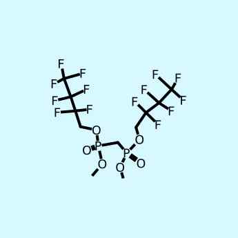 COP(=O)(CP(=O)(OC)OCC(F)(F)C(F)(F)C(F)(F)F)OCC(F)(F)C(F)(F)C(F)(F)F